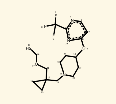 FC(F)(F)c1nccc(OC2CCN(CC3(COCS)CC3)CC2)n1